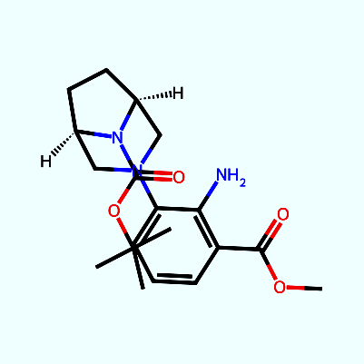 COC(=O)c1cccc(N2C[C@H]3CC[C@@H](C2)N3C(=O)OC(C)(C)C)c1N